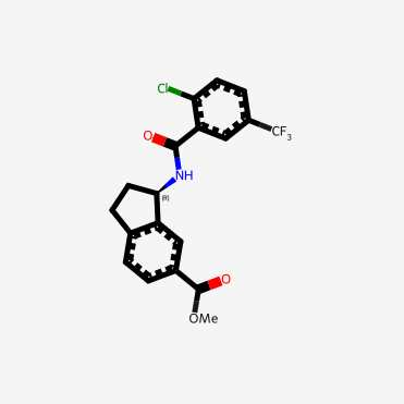 COC(=O)c1ccc2c(c1)[C@H](NC(=O)c1cc(C(F)(F)F)ccc1Cl)CC2